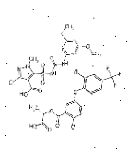 COc1cc(OC)nc(NC(=O)NS(=O)(=O)c2c(C(=O)O)c(Cl)nn2C)n1.C[C@H](OC(=O)c1cc(Oc2ccc(C(F)(F)F)cc2Cl)ccc1Cl)C(=O)O